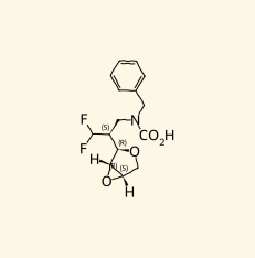 O=C(O)N(Cc1ccccc1)C[C@H](C(F)F)[C@H]1OC[C@@H]2O[C@H]12